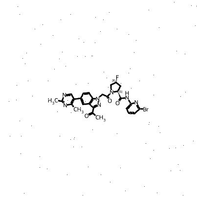 CC(=O)c1nn(CC(=O)N2C[C@H](F)C[C@H]2C(=O)Nc2cccc(Br)n2)c2ccc(-c3cnc(C)nc3C)cc12